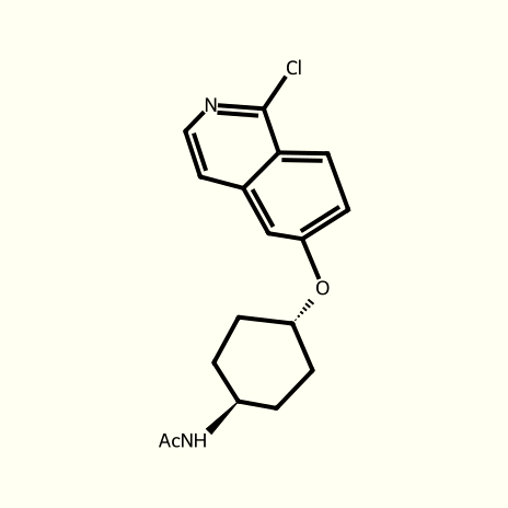 CC(=O)N[C@H]1CC[C@H](Oc2ccc3c(Cl)nccc3c2)CC1